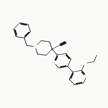 CCOc1ncccc1-c1ccc(C2(C#N)CCN(Cc3ccccc3)CC2)nc1